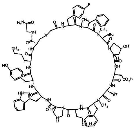 CCCC[C@H]1C(=O)N2C[C@H](O)C[C@@H]2C(=O)N[C@@H](CC(=O)O)C(=O)N[C@@H](C(C)C)C(=O)N(C)[C@@H](Cc2ccccc2)C(=O)N[C@@H](CCC(=O)O)C(=O)N2CNC[C@@H]2C(=O)N[C@@H](Cc2c[nH]c3ccccc23)C(=O)N[C@@H](Cc2ccc(O)cc2)C(=O)N[C@@H](CCCN)C(=O)N[C@H](C(=O)NCC(N)=O)CSCC(=O)N[C@@H](Cc2ccc(F)cc2)C(=O)N(C)[C@@H](Cc2ccccc2)C(=O)N1C